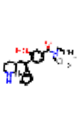 CCN(CC)C(=O)c1ccc(/C(=C/C2CCCNC2)C2C3=CC=C[C@H]32)c(O)c1